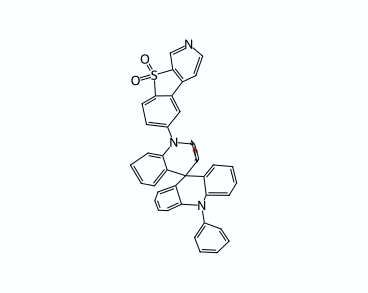 O=S1(=O)c2ccc(N3c4ccccc4C4(c5ccccc5N(c5ccccc5)c5ccccc54)c4ccccc43)cc2-c2ccncc21